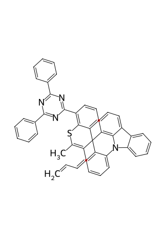 C=C/C=C\C1=C(C)Sc2c(-c3nc(-c4ccccc4)nc(-c4ccccc4)n3)cccc2C12c1ccccc1-n1c3ccccc3c3cccc2c31